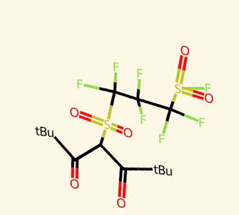 CC(C)(C)C(=O)C(C(=O)C(C)(C)C)S(=O)(=O)C(F)(F)C(F)(F)C(F)(F)S(=O)(=O)F